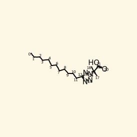 CCCCCCCCCCCCc1nnn(C(C)(C)C(=O)O)n1